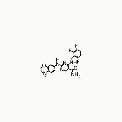 CN1CCOc2cc(Nc3ncc(C(N)=O)c(NCc4c(F)ccc(F)c4F)n3)ccc21